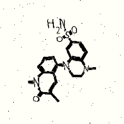 Cc1cc2c(N3CCN(C)c4ccc(S(N)(=O)=O)cc43)cccc2n(C)c1=O